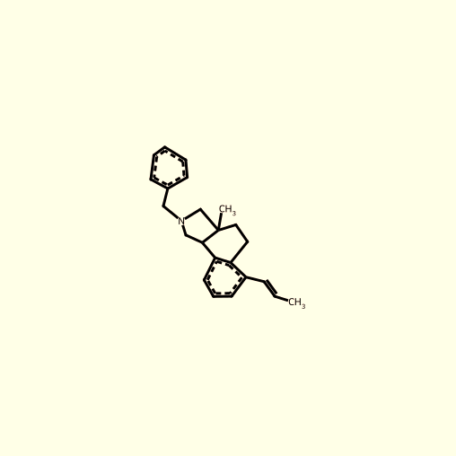 CC=Cc1cccc2c1CCC1(C)CN(Cc3ccccc3)CC21